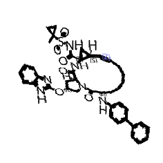 CC1(S(=O)(=O)NC(=O)[C@@]23C[C@H]2/C=C\CCCCC[C@H](Nc2ccc(-c4ccccc4)cc2)C(=O)N2C[C@H](Oc4nc5ccccc5[nH]4)C[C@H]2C(=O)N3)CC1